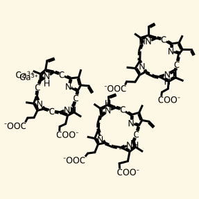 C=CC1=C(C)c2cc3[nH]c(cc4nc(cc5[nH]c(cc1n2)c(C)c5CCC(=O)[O-])C(CCC(=O)[O-])=C4C)c(C)c3C=C.C=CC1=C(C)c2cc3[nH]c(cc4nc(cc5[nH]c(cc1n2)c(C)c5CCC(=O)[O-])C(CCC(=O)[O-])=C4C)c(C)c3C=C.C=CC1=C(C)c2cc3[nH]c(cc4nc(cc5[nH]c(cc1n2)c(C)c5CCC(=O)[O-])C(CCC(=O)[O-])=C4C)c(C)c3C=C.[Ga+3].[Ga+3]